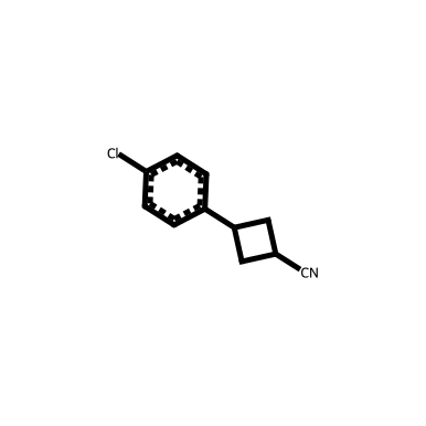 N#CC1CC(c2ccc(Cl)cc2)C1